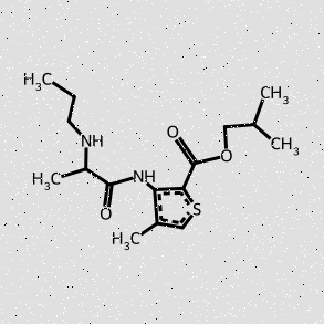 CCCNC(C)C(=O)Nc1c(C)csc1C(=O)OCC(C)C